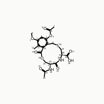 COc1cc(OC(C)=O)c2c(c1C)C(=O)OC[C@H](NC(C)=O)C(=O)N[C@H](C(=O)O)CSC2